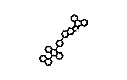 c1ccc2c(-c3c4ccccc4c(-c4ccc(-c5ccc6cc7c(cc6c5)oc5c6ccccc6c6ccccc6c75)cc4)c4ccccc34)cccc2c1